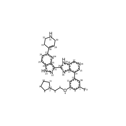 Fc1cc(OCCN2CCCC2)cc(-c2cncc3[nH]c(-c4n[nH]c5ccc(C6=CCNCC6)nc45)nc23)c1